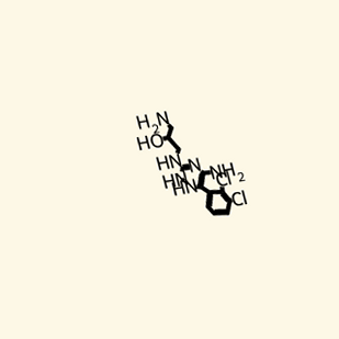 NCC(O)CNC1=NC(N)=C(c2cccc(Cl)c2Cl)NN1